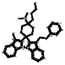 CCCCC1(N(C)C)CCC(c2[nH]c3ccccc3c2C)(c2[nH]c3ccccc3c2CCc2ccncc2)CC1